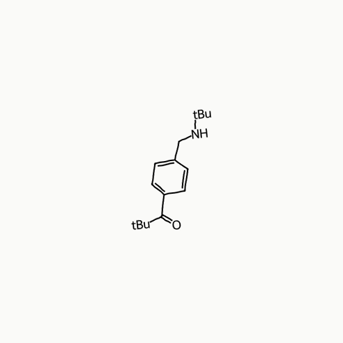 CC(C)(C)NCc1ccc(C(=O)C(C)(C)C)cc1